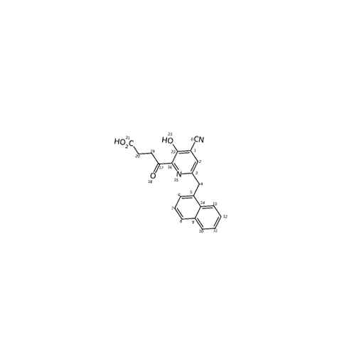 N#Cc1cc(Cc2cccc3ccccc23)nc(C(=O)CCC(=O)O)c1O